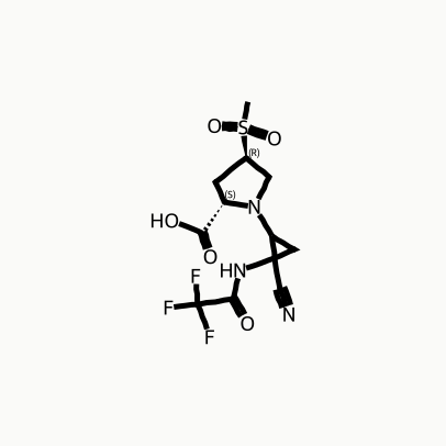 CS(=O)(=O)[C@@H]1C[C@@H](C(=O)O)N(C2CC2(C#N)NC(=O)C(F)(F)F)C1